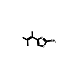 CC(C)=C(C)c1csc(N)n1